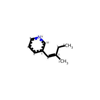 CC/C(C)=C\c1cccnc1